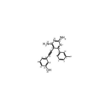 Cc1cccc(-c2nc(N)nc(N)c2C#Cc2cccc(O)c2)c1